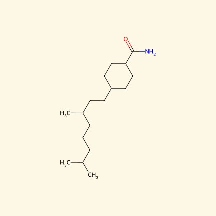 CC(C)CCCC(C)CCC1CCC(C(N)=O)CC1